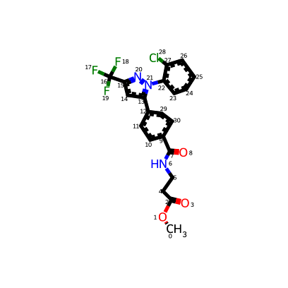 COC(=O)CCNC(=O)c1ccc(-c2cc(C(F)(F)F)nn2-c2ccccc2Cl)cc1